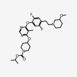 COC1CCCN(CCc2cc(F)c(Oc3ncnc(OC4CCN(C(=O)OC(C)C)CC4)c3C)cc2F)C1